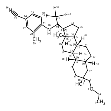 CCOC[C@@]1(O)CC[C@H]2[C@H](CC[C@@H]3[C@@H]2CC[C@]2(C)[C@@H](C(Nc4ccc(C#N)cc4C)C(F)(F)F)CC[C@@H]32)C1